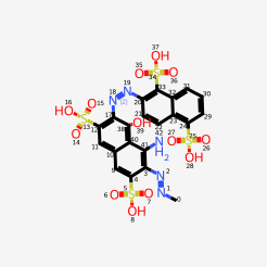 CN=Nc1c(S(=O)(=O)O)cc2cc(S(=O)(=O)O)c(/N=N\c3ccc4c(S(=O)(=O)O)cccc4c3S(=O)(=O)O)c(O)c2c1N